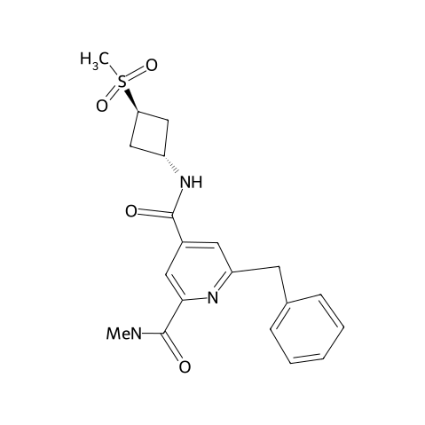 CNC(=O)c1cc(C(=O)N[C@H]2C[C@H](S(C)(=O)=O)C2)cc(Cc2ccccc2)n1